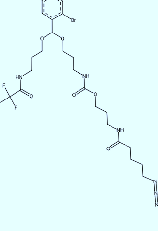 [N-]=[N+]=NCCCCC(=O)NCCCOC(=O)NCCCOC(OCCCNC(=O)C(F)(F)F)c1ccccc1Br